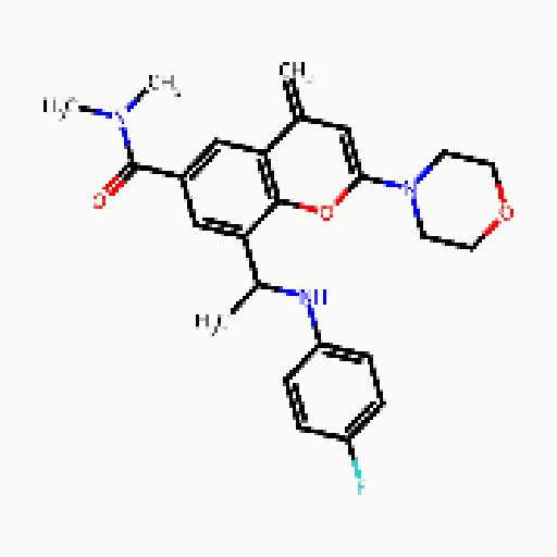 C=C1C=C(N2CCOCC2)Oc2c1cc(C(=O)N(C)C)cc2C(C)Nc1ccc(F)cc1